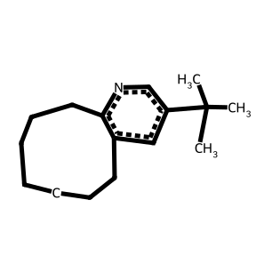 CC(C)(C)c1cnc2c(c1)CCCCCCC2